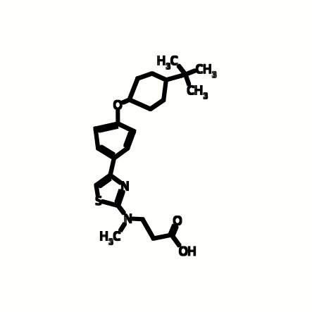 CN(CCC(=O)O)c1nc(-c2ccc(OC3CCC(C(C)(C)C)CC3)cc2)cs1